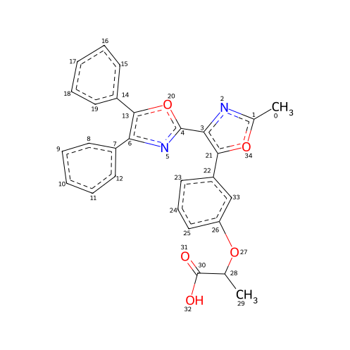 Cc1nc(-c2nc(-c3ccccc3)c(-c3ccccc3)o2)c(-c2cccc(OC(C)C(=O)O)c2)o1